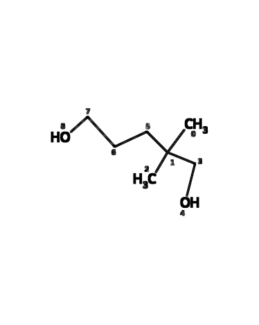 CC(C)(CO)CCCO